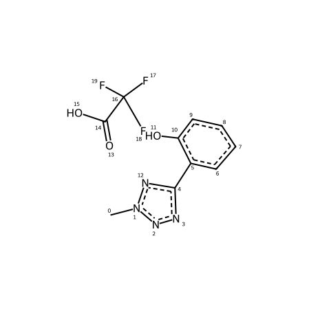 Cn1nnc(-c2ccccc2O)n1.O=C(O)C(F)(F)F